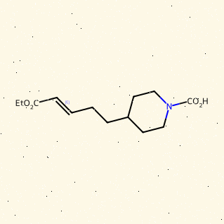 CCOC(=O)/C=C/CCC1CCN(C(=O)O)CC1